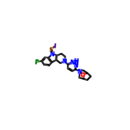 N=C(/C=C\C(=N)N1CC2CCC(C1)O2)N1CCc2c(c3ccc(F)cc3n2SI)C1